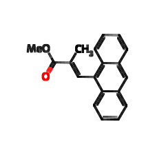 COC(=O)C(C)=Cc1c2ccccc2cc2ccccc12